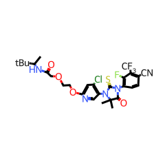 CC(NC(=O)COCCOc1cc(Cl)c(N2C(=S)N(c3ccc(C#N)c(C(F)(F)F)c3F)C(=O)C2(C)C)cn1)C(C)(C)C